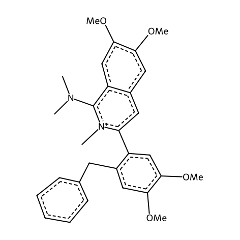 COc1cc(Cc2ccccc2)c(-c2cc3cc(OC)c(OC)cc3c(N(C)C)[n+]2C)cc1OC